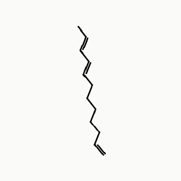 C=CCCCCCC=CC=CC